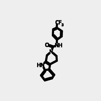 O=C(Nc1ccc(C(F)(F)F)cc1)N1CCc2c([nH]c3ccccc23)C1